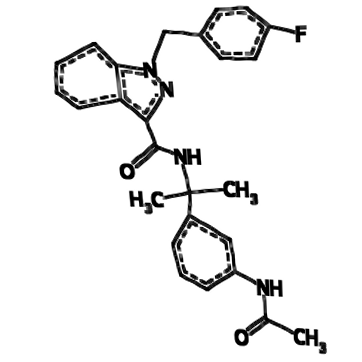 CC(=O)Nc1cccc(C(C)(C)NC(=O)c2nn(Cc3ccc(F)cc3)c3ccccc23)c1